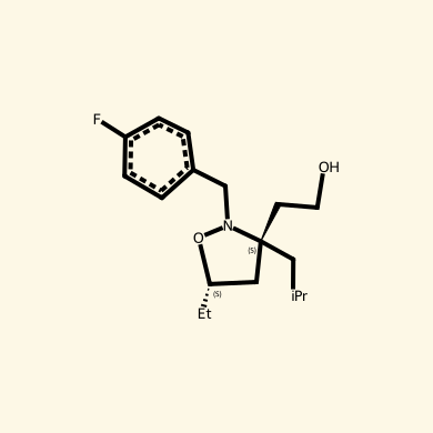 CC[C@H]1C[C@@](CCO)(CC(C)C)N(Cc2ccc(F)cc2)O1